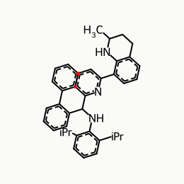 CC1CCc2cccc(-c3cccc(C(Nc4c(C(C)C)cccc4C(C)C)c4ccccc4-c4ccccc4)n3)c2N1